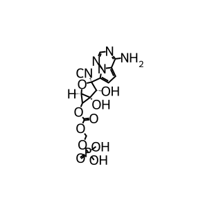 N#C[C@@]1(c2ccc3c(N)ncnn23)O[C@@H]2C(OC(=O)OCOP(=O)(O)O)[C@]2(O)[C@H]1O